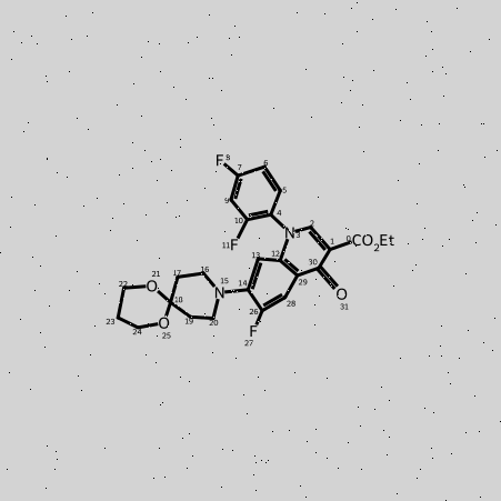 CCOC(=O)c1cn(-c2ccc(F)cc2F)c2cc(N3CCC4(CC3)OCCCO4)c(F)cc2c1=O